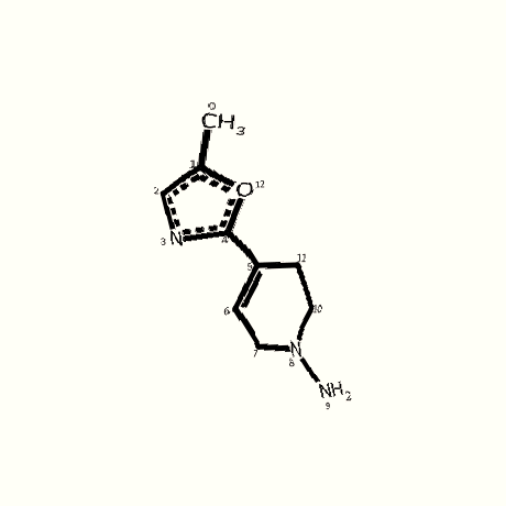 Cc1cnc(C2=CCN(N)CC2)o1